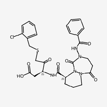 O=C(O)C[C@H](NC(=O)[C@@H]1CCCN2C(=O)CCN(NC(=O)c3ccccc3)C(=O)N12)C(=O)CSCc1ccccc1Cl